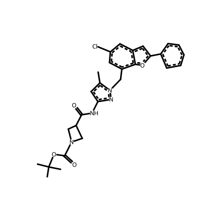 Cc1cc(NC(=O)C2CN(C(=O)OC(C)(C)C)C2)nn1Cc1cc(Cl)cc2cc(-c3ccccc3)oc12